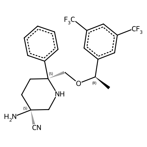 C[C@@H](OC[C@@]1(c2ccccc2)CC[C@@](N)(C#N)CN1)c1cc(C(F)(F)F)cc(C(F)(F)F)c1